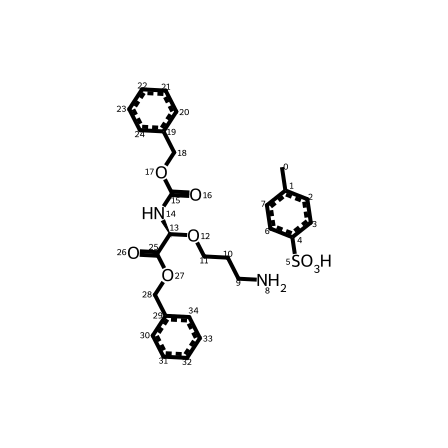 Cc1ccc(S(=O)(=O)O)cc1.NCCCO[C@H](NC(=O)OCc1ccccc1)C(=O)OCc1ccccc1